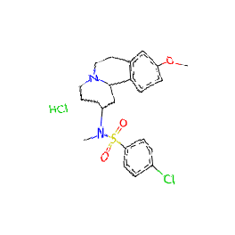 COc1ccc2c(c1)CCN1CCC(N(C)S(=O)(=O)c3ccc(Cl)cc3)CC21.Cl